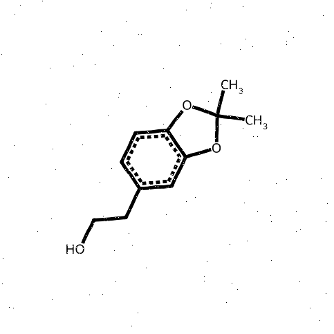 CC1(C)Oc2ccc(CCO)cc2O1